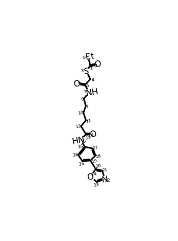 CCC(=O)SCC(=O)NCCCCCC(=O)Nc1ccc(-c2cnco2)cc1